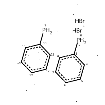 Br.Br.Pc1ccccc1.Pc1ccccc1